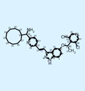 C[C@@H](Oc1ccc2[nH]nc(/C=C/c3ccc(C(N)C4CCCCCCCCC4)nc3)c2c1)c1c(Cl)cncc1Cl